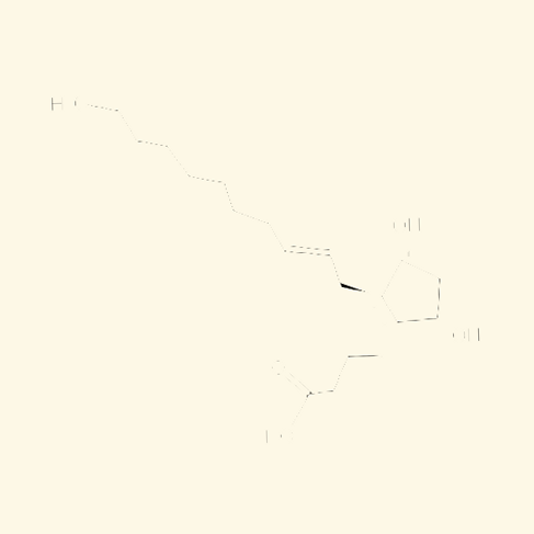 CCCCCCCCC=CC[C@@H]1[C@@H](CCCC(=O)O)[C@@H](O)C[C@H]1O